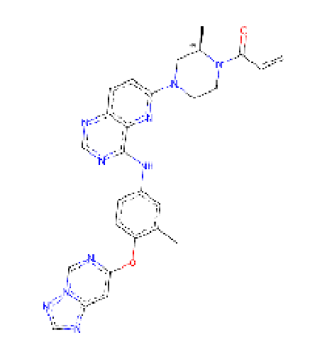 C=CC(=O)N1CCN(c2ccc3ncnc(Nc4ccc(Oc5cc6ncnn6cn5)c(C)c4)c3n2)C[C@H]1C